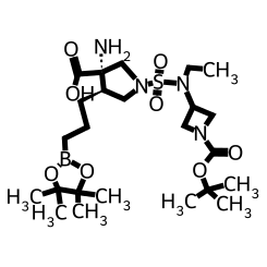 CCN(C1CN(C(=O)OC(C)(C)C)C1)S(=O)(=O)N1C[C@@H](CCCB2OC(C)(C)C(C)(C)O2)[C@@](N)(C(=O)O)C1